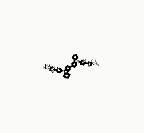 CC1(C)CSC(c2ccc(-n3c4ccccc4c4cc(-c5ccc6c(c5)c5ccccc5n6-c5ccc(C6=NC(C)(C)CS6)nc5)ccc43)cn2)=N1